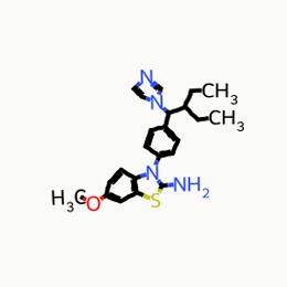 CCC(CC)C(c1ccc(N2c3ccc(OC)cc3SC2N)cc1)n1ccnc1